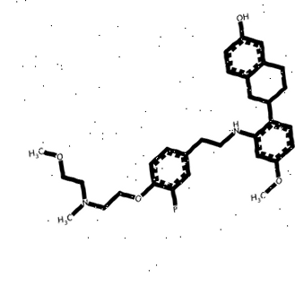 COCCN(C)CCOc1ccc(CCNc2cc(OC)ccc2C2CCc3cc(O)ccc3C2)cc1F